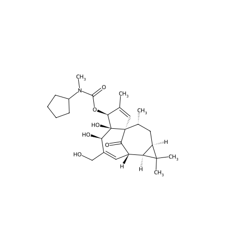 CC1=C[C@]23C(=O)[C@@H](C=C(CO)[C@@H](O)[C@]2(O)[C@H]1OC(=O)N(C)C1CCCC1)[C@H]1[C@@H](C[C@H]3C)C1(C)C